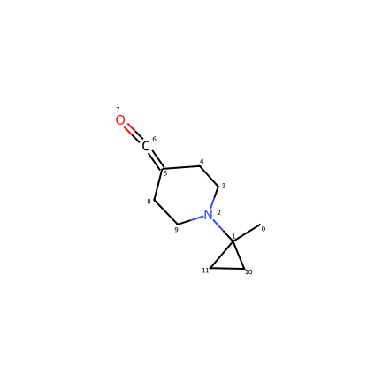 CC1(N2CCC(=C=O)CC2)CC1